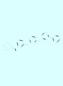 Cc1cccc(-c2nccc(Nc3ccnc(Nc4cccc(C(=O)N5CCNCC5)c4)n3)n2)n1